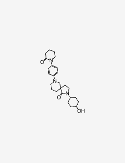 O=C1CCCCN1c1ccc(N2CCCC3(CCN([C@H]4CC[C@H](O)CC4)C3=O)C2)cc1